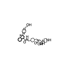 O=C(NCC1CCC(CN(CC(O)N2CCNCC2)C(=O)O)CC1)c1cc(N2CCN(CCO)CC2)nc2ccccc12